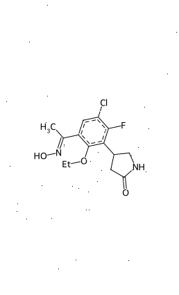 CCOc1c(C(C)=NO)cc(Cl)c(F)c1C1CNC(=O)C1